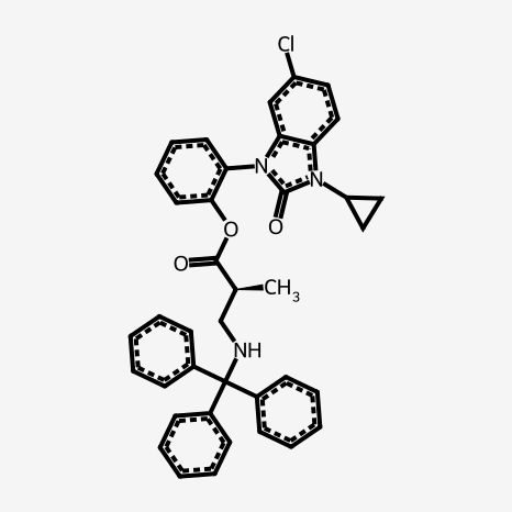 C[C@@H](CNC(c1ccccc1)(c1ccccc1)c1ccccc1)C(=O)Oc1ccccc1-n1c(=O)n(C2CC2)c2ccc(Cl)cc21